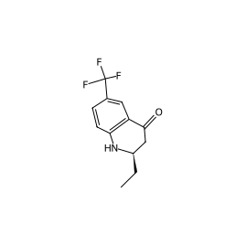 CC[C@@H]1CC(=O)c2cc(C(F)(F)F)ccc2N1